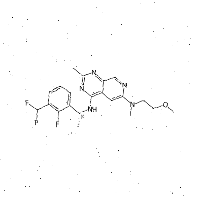 COCCN(C)c1cc2c(N[C@H](C)c3cccc(C(F)F)c3F)nc(C)nc2cn1